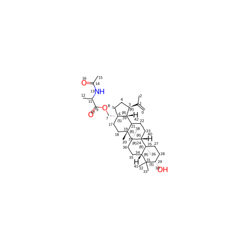 C=C(C)[C@@H]1CC[C@]2(COC(=O)C(C)NC(C)=O)CC[C@]3(C)C(CC[C@@H]4[C@@]5(C)CC[C@H](O)C(C)(C)[C@@H]5CC[C@]43C)[C@@H]12